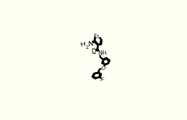 CC/C=C\C(C(=O)NCc1cccc(OCc2cccc(F)c2)c1)=C(/C)N